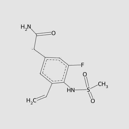 C=Cc1cc([CH]C(N)=O)cc(F)c1NS(C)(=O)=O